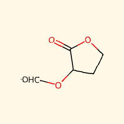 O=[C]OC1CCOC1=O